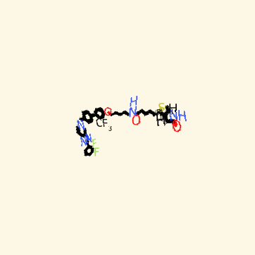 O=C(CCCC[C@H]1SC[C@H]2NC(=O)C[C@H]21)NCCCCCOc1ccc(-c2ccc(Cn3ccc4nc(-c5cccc(F)c5F)nc-4c3)cc2)c(C(F)(F)F)c1